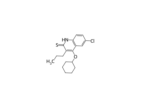 CCCc1c(OC2CCCCC2)c2cc(Cl)ccc2[nH]c1=S